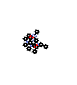 c1ccc(-c2ccc3c(c2)c2cc(-c4ccccc4)ccc2n3-c2ccc(-c3nc(-c4ccccc4)nc(-c4ccccc4)n3)c(-n3c4ccccc4c4c5c(c6ccccc6n5-c5ccccc5)c5c(c6ccccc6n5-c5ccccc5)c43)c2)cc1